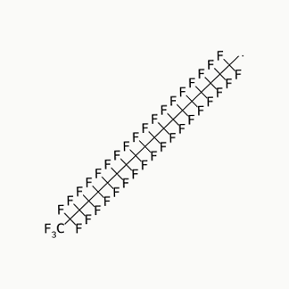 [CH2]C(F)(F)C(F)(F)C(F)(F)C(F)(F)C(F)(F)C(F)(F)C(F)(F)C(F)(F)C(F)(F)C(F)(F)C(F)(F)C(F)(F)C(F)(F)C(F)(F)C(F)(F)C(F)(F)C(F)(F)C(F)(F)C(F)(F)F